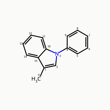 Cc1cn(-c2ccccc2)c2cc[c]cc12